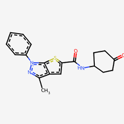 Cc1nn(-c2ccccc2)c2sc(C(=O)NC3CCC(=O)CC3)cc12